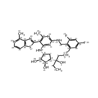 CCC(O)(CC)[C@H]1C[C@@H](Nc2nc(NCc3c(F)cc(F)cc3F)nc(C)c2-c2nc3c(C)nccc3s2)[C@H](O)[C@@H]1O